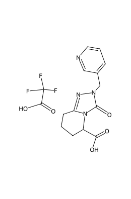 O=C(O)C(F)(F)F.O=C(O)C1CCCc2nn(Cc3cccnc3)c(=O)n21